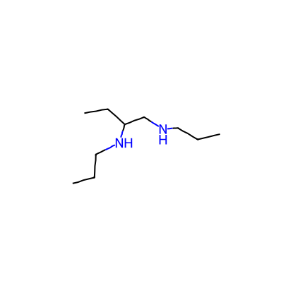 CCCNCC(CC)NCCC